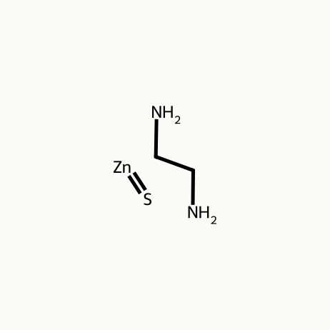 NCCN.[S]=[Zn]